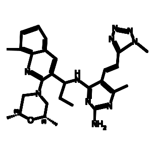 CCC(Nc1nc(N)nc(C)c1C=Cc1nnnn1C)c1cc2cccc(C)c2nc1N1C[C@@H](C)O[C@@H](C)C1